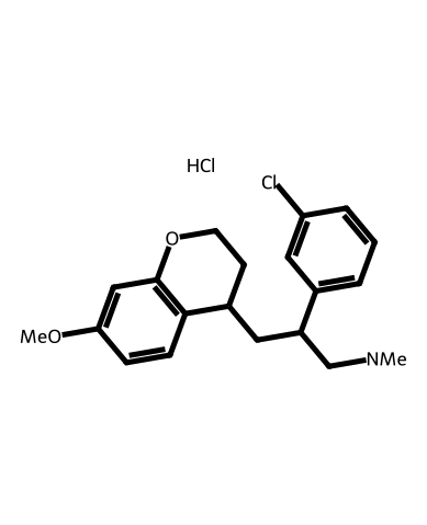 CNCC(CC1CCOc2cc(OC)ccc21)c1cccc(Cl)c1.Cl